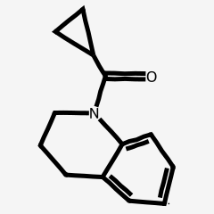 O=C(C1CC1)N1CCCc2c[c]ccc21